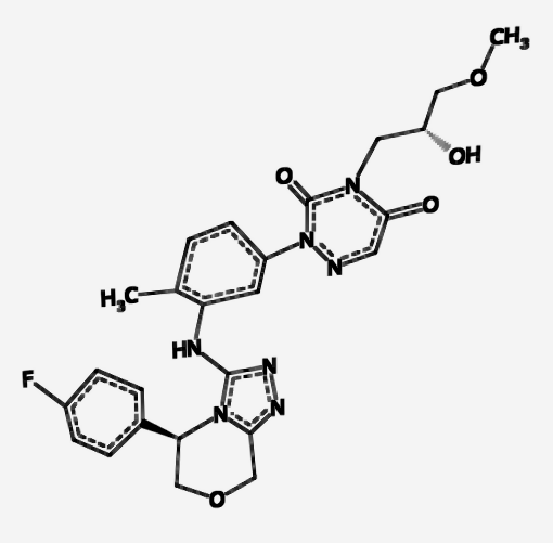 COC[C@H](O)Cn1c(=O)cnn(-c2ccc(C)c(Nc3nnc4n3[C@H](c3ccc(F)cc3)COC4)c2)c1=O